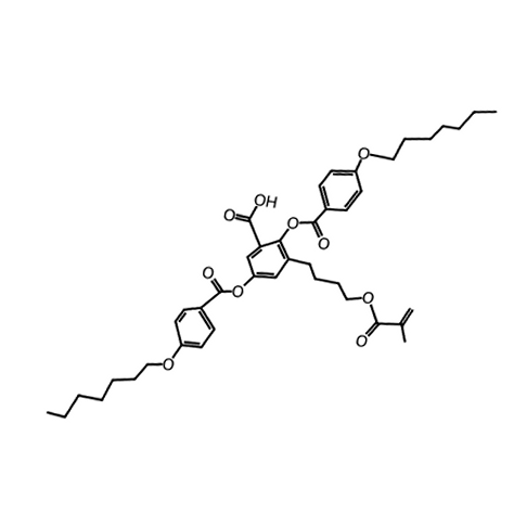 C=C(C)C(=O)OCCCCc1cc(OC(=O)c2ccc(OCCCCCCC)cc2)cc(C(=O)O)c1OC(=O)c1ccc(OCCCCCCC)cc1